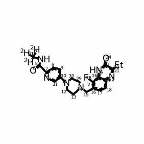 [2H]C([2H])([2H])NC(=O)c1ccc(N2CCN(Cc3ccc4nc(CC)c(=O)[nH]c4c3F)CC2)cn1